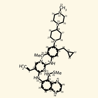 C=Cc1cnc(Nc2cc(CC3CC3)c(N3CCC(N4CCN(C)CC4)CC3)cc2OC)nc1Nc1ccc2nccnc2c1NSC